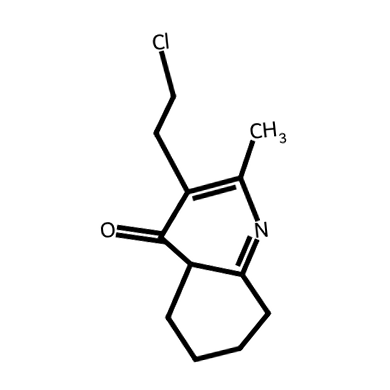 CC1=C(CCCl)C(=O)C2CCCCC2=N1